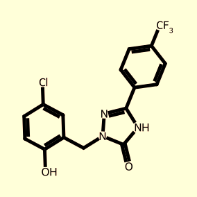 O=c1[nH]c(-c2ccc(C(F)(F)F)cc2)nn1Cc1cc(Cl)ccc1O